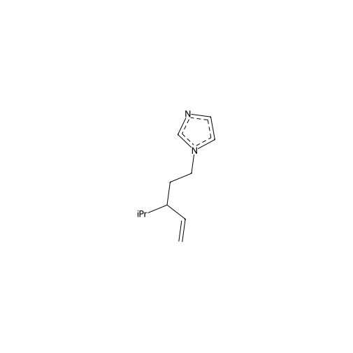 C=CC(CCn1ccnc1)C(C)C